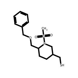 CS(=O)(=O)N1CC(CS)CCC1COCc1ccccc1